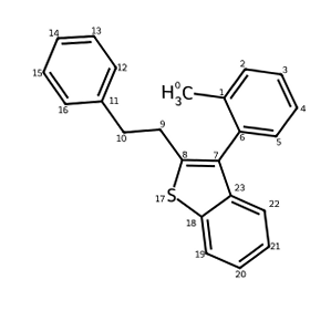 Cc1ccccc1-c1c(CCc2ccccc2)sc2ccccc12